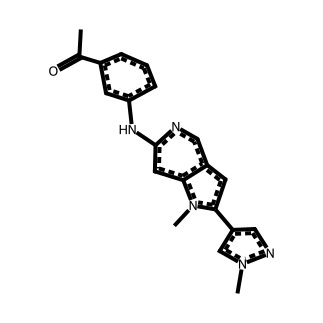 CC(=O)c1cccc(Nc2cc3c(cn2)cc(-c2cnn(C)c2)n3C)c1